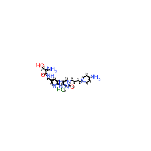 Cl.NC1CCN(CCCCn2ccc(Nc3ccc(CNC(=O)C(N)CO)cn3)nc2=O)CC1